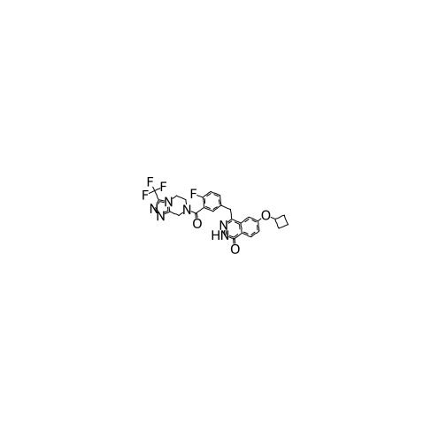 O=C(c1cc(Cc2n[nH]c(=O)c3ccc(OC4CCC4)cc23)ccc1F)N1CCn2c(nnc2C(F)(F)F)C1